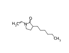 C=CN1CCC(CCCCCC)C1=O